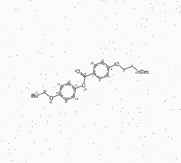 CCCCCCCCCCCCOc1ccc(C(=O)Oc2ccc(OCC(C)CC)cc2)cc1